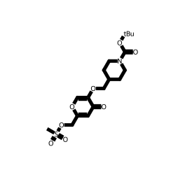 CC(C)(C)OC(=O)N1CCC(COc2coc(COS(C)(=O)=O)cc2=O)CC1